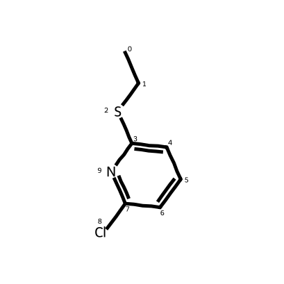 CCSc1cccc(Cl)n1